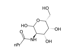 CCCC(=O)N[C@H]1C(O)O[C@H](CO)[C@H](O)[C@@H]1O